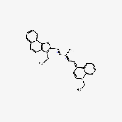 CCN1C=C\C(=C/C=C(C)/C=C/c2sc3c4ccccc4ccc3[n+]2CC)c2ccccc21